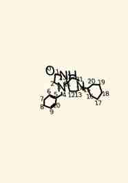 O=C1CN(CC2=CCCC=C2)C2(CCN(C3CCCCC3)CC2)N1